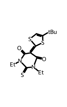 CCN1C(=O)C(=C2SC=C(C(C)(C)C)S2)C(=O)N(CC)C1=S